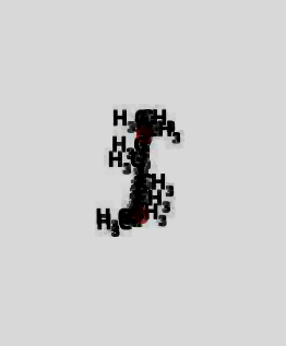 CC(/C=C/C=C(C)/C=C/CC1(C)CC(C)(C)CCC1=O)=C\C=C\C=C(C)\C=C\C=C(C)\C=C\CC1(C)CC(C)(C)CCC1=O